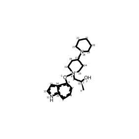 C[C@H](O)C[N+]1(Oc2cccc3[nH]ccc23)CCC(N2CCCCC2)CC1